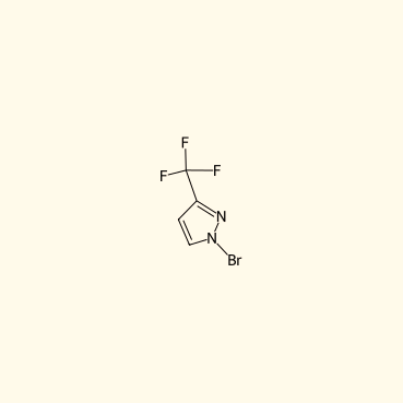 FC(F)(F)c1ccn(Br)n1